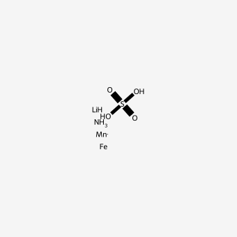 N.O=S(=O)(O)O.[Fe].[LiH].[Mn]